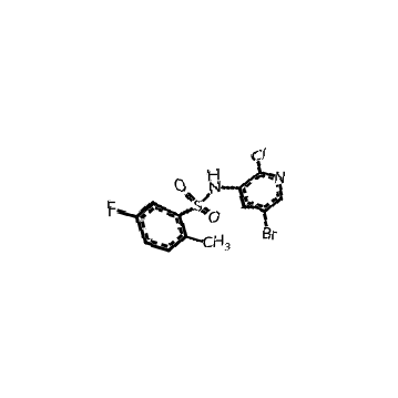 Cc1ccc(F)cc1S(=O)(=O)Nc1cc(Br)cnc1Cl